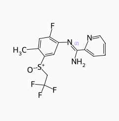 Cc1cc(F)c(/N=C(\N)c2ccccn2)cc1[S+]([O-])CC(F)(F)F